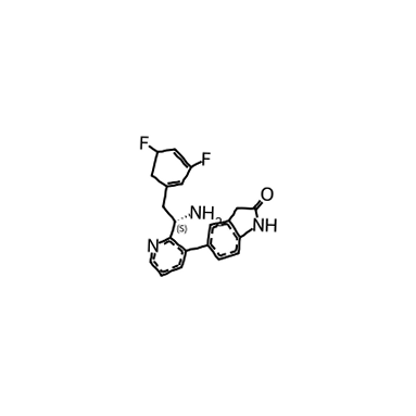 N[C@@H](CC1=CC(F)=CC(F)C1)c1ncccc1-c1ccc2c(c1)CC(=O)N2